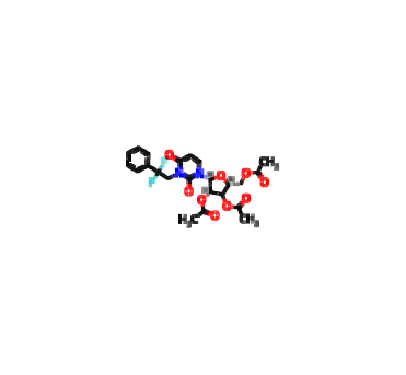 CC(=O)OC[C@H]1O[C@@H](n2ccc(=O)n(CC(F)(F)c3ccccc3)c2=O)[C@@H](OC(C)=O)C1OC(C)=O